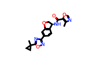 Cc1ncoc1C(=O)N[C@@H]1COc2cc(-c3noc(C4(C)CC4)n3)ccc21